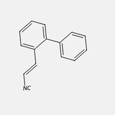 [C-]#[N+]C=Cc1ccccc1-c1ccccc1